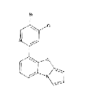 Clc1cc(-c2cccc3c2sc2cccn23)ncc1Br